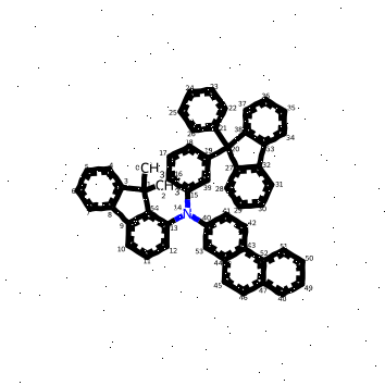 CC1(C)c2ccccc2-c2cccc(N(c3cccc(C4(c5ccccc5)c5ccccc5-c5ccccc54)c3)c3ccc4c(ccc5ccccc54)c3)c21